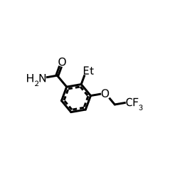 CCc1c(OCC(F)(F)F)cccc1C(N)=O